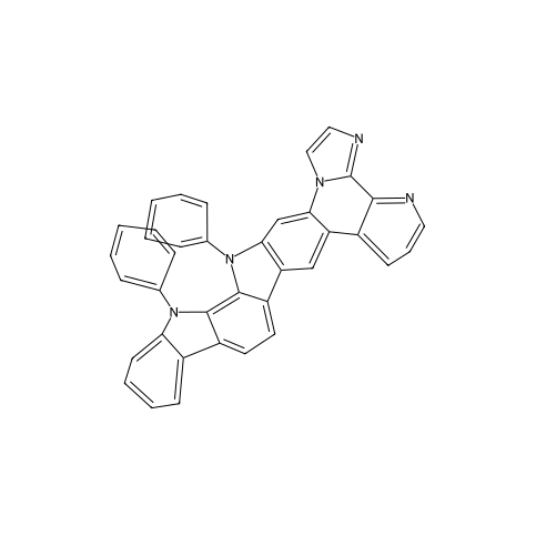 c1ccc(-n2c3ccccc3c3ccc4c5cc6c7cccnc7c7nccn7c6cc5n(-c5ccccc5)c4c32)cc1